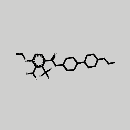 CCCC1CCC(C2CCC(CC(=O)c3ccc(OCC)c(C(F)F)c3C(F)(F)F)CC2)CC1